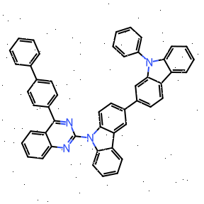 c1ccc(-c2ccc(-c3nc(-n4c5ccccc5c5cc(-c6ccc7c8ccccc8n(-c8ccccc8)c7c6)ccc54)nc4ccccc34)cc2)cc1